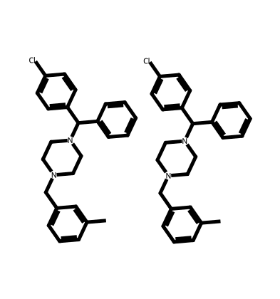 Cc1cccc(CN2CCN(C(c3ccccc3)c3ccc(Cl)cc3)CC2)c1.Cc1cccc(CN2CCN(C(c3ccccc3)c3ccc(Cl)cc3)CC2)c1